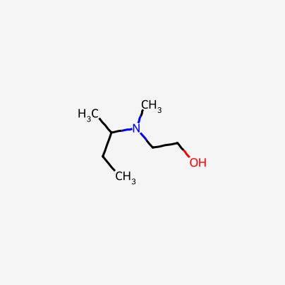 CCC(C)N(C)CCO